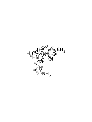 CO[C@@]1(NC(=O)Cc2csc(N)n2)C(=O)N2C(C(=O)O)=C(CSC)CS[C@H]21